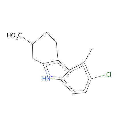 Cc1c(Cl)ccc2[nH]c3c(c12)CCC(C(=O)O)C3